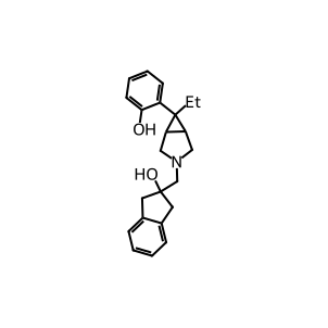 CCC1(c2ccccc2O)C2CN(CC3(O)Cc4ccccc4C3)CC21